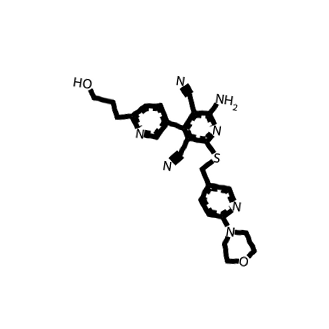 N#Cc1c(N)nc(SCc2ccc(N3CCOCC3)nc2)c(C#N)c1-c1ccc(CCCO)nc1